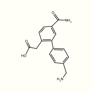 NCc1ccc(-c2cc(C(N)=O)ccc2CC(=O)O)cc1